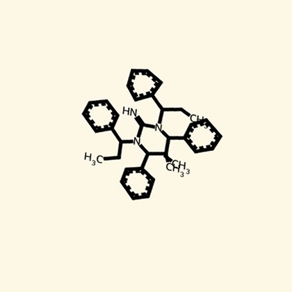 CCC(c1ccccc1)N(C(=N)N(C(CC)c1ccccc1)C(CC)c1ccccc1)C(CC)c1ccccc1